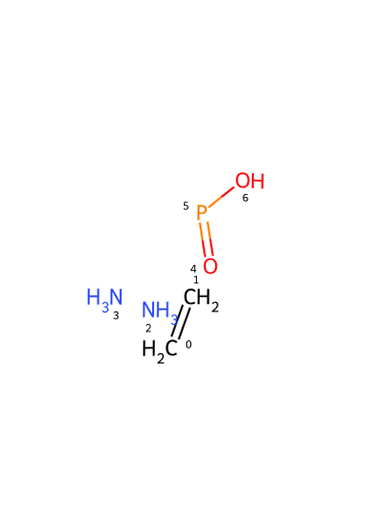 C=C.N.N.O=PO